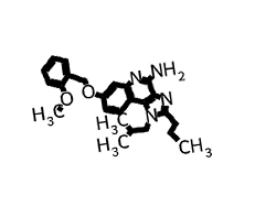 CCCc1nc2c(N)nc3cc(OCc4ccccc4OC)ccc3c2n1CC(C)C